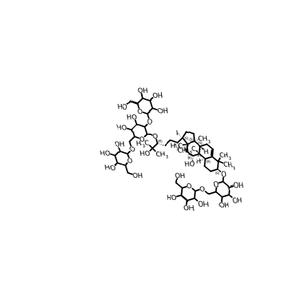 C[C@H](CC[C@@H](OC1OC(COC2OC(CO)C(O)C(O)C2O)C(O)C(O)C1OC1OC(CO)C(O)C(O)C1O)C(C)(C)O)[C@@]1(I)CC[C@@]2(C)[C@@H]3CC=C4[C@@H](CC[C@H](OC5OC(COC6OC(CO)C(O)C(O)C6O)C(O)C(O)C5O)C4(C)C)[C@]3(C)[C@H](O)C[C@@]21C